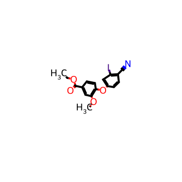 CCOC(=O)c1ccc(Oc2ccc(C#N)c(I)c2)c(OC)c1